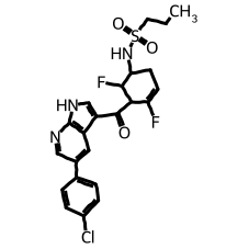 CCCS(=O)(=O)NC1CC=C(F)C(C(=O)c2c[nH]c3ncc(-c4ccc(Cl)cc4)cc23)C1F